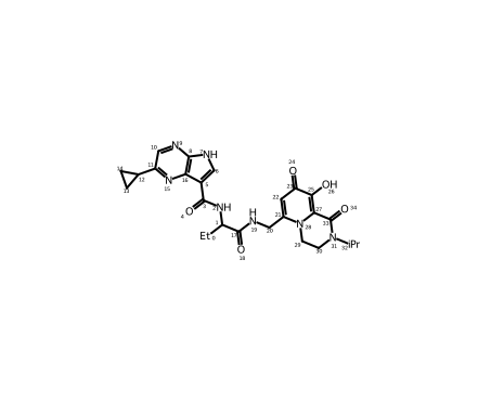 CCC(NC(=O)c1c[nH]c2ncc(C3CC3)nc12)C(=O)NCc1cc(=O)c(O)c2n1CCN(C(C)C)C2=O